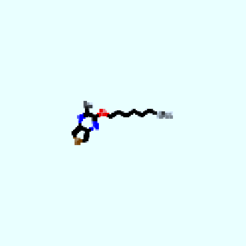 CCCCCCCCCCCCCCCCOc1nc2cscc2nc1CC